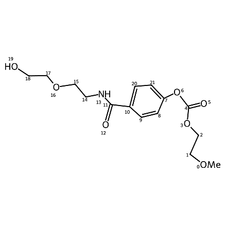 COCCOC(=O)Oc1ccc(C(=O)NCCOCCO)cc1